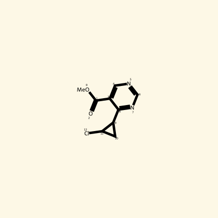 COC(=O)c1cncnc1C1CC1Cl